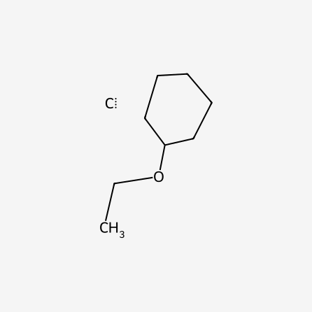 CCOC1CCCCC1.[C]